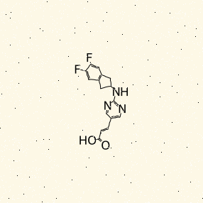 O=C(O)C=Cc1cnc(NC2Cc3cc(F)c(F)cc3C2)nc1